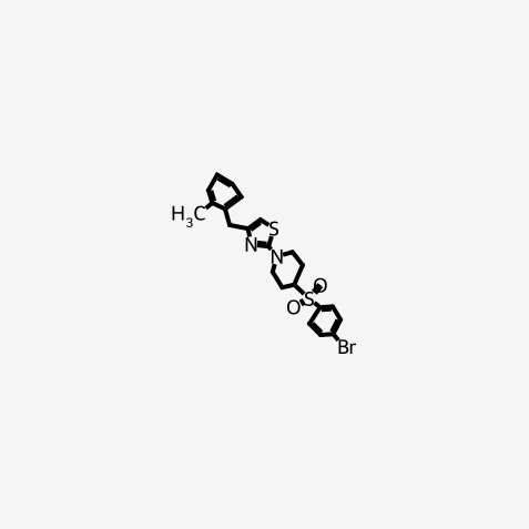 Cc1ccccc1Cc1csc(N2CCC(S(=O)(=O)c3ccc(Br)cc3)CC2)n1